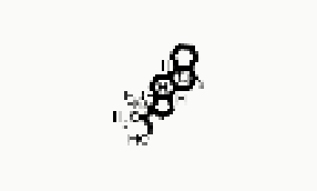 C=C(CO)[C@@]1(O)CC[C@H]2[C@@H]3CCC4CCCC[C@]4(C)[C@H]3CC[C@@]21C